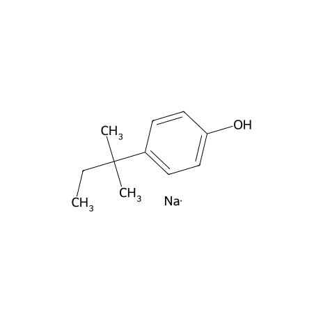 CCC(C)(C)c1ccc(O)cc1.[Na]